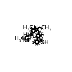 CCCc1nc2c(C)cc(C(=O)N[C@@H](CS)CC(C)C)cc2n1Cc1ccc(-c2ccccc2C(=O)O)cc1F